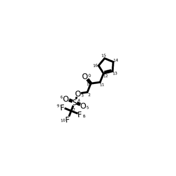 O=C(COS(=O)(=O)C(F)(F)F)CC1=CCCC1